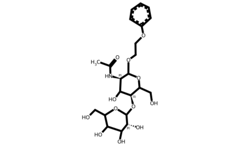 CC(=O)N[C@H]1C(OCCOc2ccccc2)OC(CO)[C@@H](OC2OC(CO)C(O)C(O)[C@H]2O)C1O